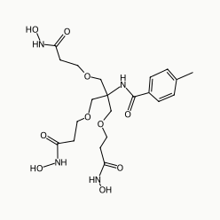 Cc1ccc(C(=O)NC(COCCC(=O)NO)(COCCC(=O)NO)COCCC(=O)NO)cc1